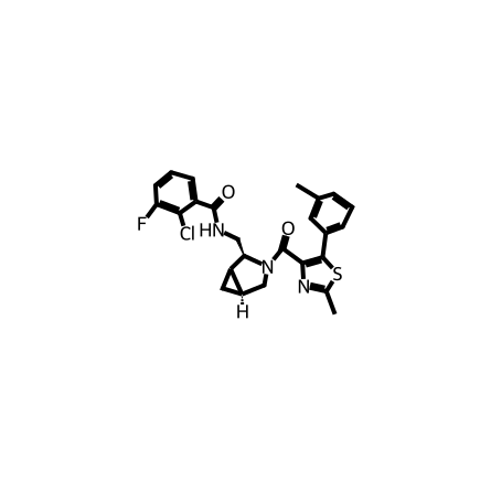 Cc1cccc(-c2sc(C)nc2C(=O)N2C[C@H]3CC3[C@H]2CNC(=O)c2cccc(F)c2Cl)c1